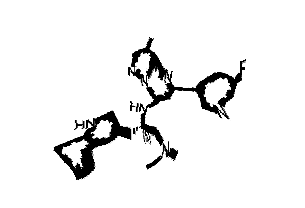 Cc1cnn2c(N[C@@H](Cc3c[nH]c4ccccc34)CN(C)C)cc(-c3cncc(F)c3)nc12